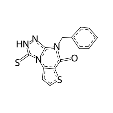 O=c1c2sccc2n2c(=S)[nH]nc2n1Cc1ccccc1